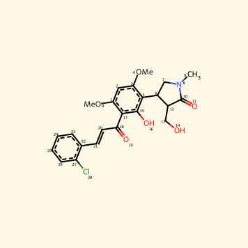 COc1cc(OC)c(C2CN(C)C(=O)C2CO)c(O)c1C(=O)C=Cc1ccccc1Cl